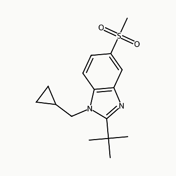 CC(C)(C)c1nc2cc(S(C)(=O)=O)ccc2n1CC1CC1